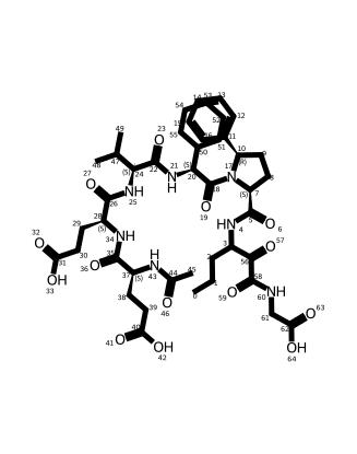 CCCC(NC(=O)[C@@H]1CC[C@H](c2ccccc2)N1C(=O)[C@@H](NC(=O)[C@@H](NC(=O)[C@H](CCC(=O)O)NC(=O)[C@H](CCC(=O)O)NC(C)=O)C(C)C)C1CCCCC1)C(=O)C(=O)NCC(=O)O